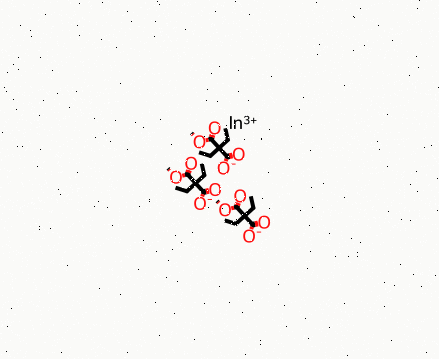 CCC(CC)(C(=O)[O-])C(=O)OC.CCC(CC)(C(=O)[O-])C(=O)OC.CCC(CC)(C(=O)[O-])C(=O)OC.[In+3]